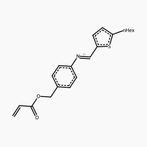 C=CC(=O)OCc1ccc(/N=C/c2ccc(CCCCCC)s2)cc1